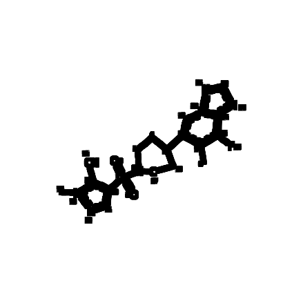 Cc1c(C2CCN(S(=O)(=O)c3cnn(C)c3C#N)CC2)cn2ncnc2c1F